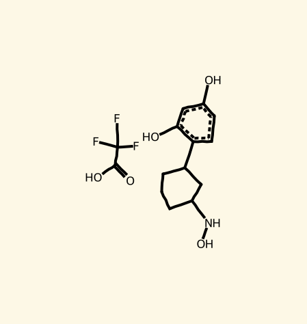 O=C(O)C(F)(F)F.ONC1CCCC(c2ccc(O)cc2O)C1